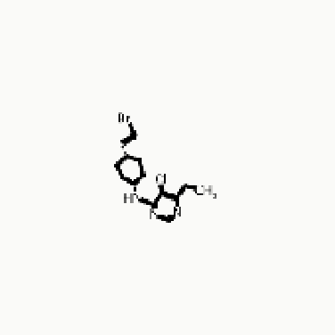 CCc1ncnc(N[C@H]2CC[C@@H](C=CBr)CC2)c1Cl